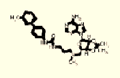 Cc1cccc(-c2ccc(NC(=O)NCCCN(C)C[C@H]3O[C@@H](n4cnc5c(N)ncnc54)[C@@H]4OC(C)(C)O[C@@H]43)cc2)c1